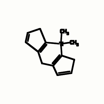 [CH3][Ti]1([CH3])[C]2=C(C=CC2)CC2=[C]1CC=C2